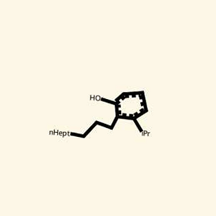 CCCCCCCCCCc1c(O)cccc1C(C)C